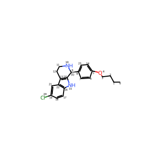 CCCCOc1ccc([C@@H]2NCCc3c2[nH]c2ccc(Cl)cc32)cc1